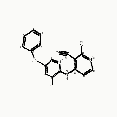 Cc1cc(Oc2ccccc2)cnc1Nc1ccnc(Cl)c1C#N